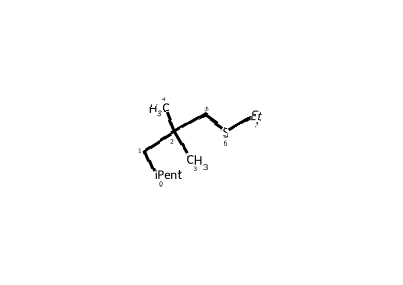 CCCC(C)CC(C)(C)CSCC